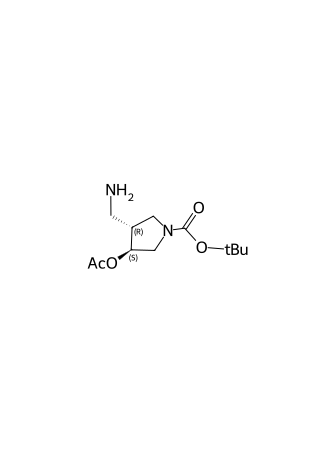 CC(=O)O[C@@H]1CN(C(=O)OC(C)(C)C)C[C@H]1CN